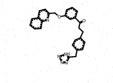 O=C(CCc1ccc(Cc2nnn[nH]2)cc1)c1cccc(OCc2ccc3ccccc3n2)c1